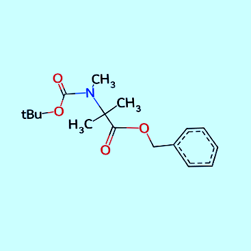 CN(C(=O)OC(C)(C)C)C(C)(C)C(=O)OCc1ccccc1